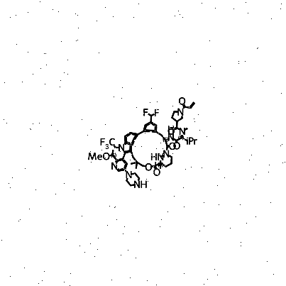 C=CC(=O)N1CCC(C(=O)N(C)[C@H](C(=O)N[C@H]2Cc3cc(cc(C(F)F)c3)-c3ccc4c(c3)c(c(-c3cc(N5CCNCC5)cnc3[C@H](C)OC)n4CC(F)(F)F)CC(C)(C)COC(=O)[C@@H]3CCCN(N3)C2=O)C(C)C)C1